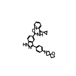 O=C(N[C@@H](c1ccccn1)C1CC1)c1ccc2[nH]nc(-c3ccc(N4CC5(CCO5)C4)cc3)c2c1